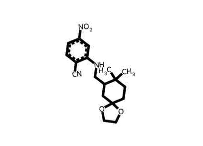 CC1(C)CCC2(CC1CNc1cc([N+](=O)[O-])ccc1C#N)OCCO2